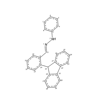 C(=NNc1ccccc1)c1ccccc1C1c2ccccc2-c2ccccc21